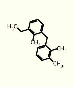 CCc1cccc(Cc2cccc(C)c2C)c1C